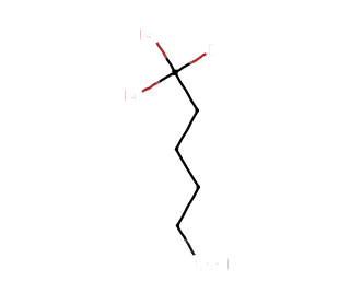 O=C(O)CCCCC(Br)(Br)Br